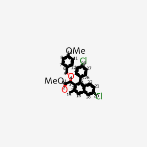 COC(=O)C(OCc1ccc(OC)cc1)c1c(C)cc2cc(Cl)ccc2c1-c1ccc(Cl)cc1